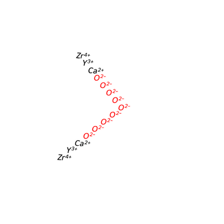 [Ca+2].[Ca+2].[O-2].[O-2].[O-2].[O-2].[O-2].[O-2].[O-2].[O-2].[O-2].[Y+3].[Y+3].[Zr+4].[Zr+4]